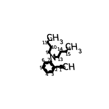 C#Cc1ccccc1N(CCCC)CCCC